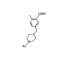 COc1cc(CC2CCN(C(C)=O)CC2)ccc1C